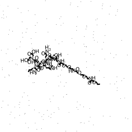 CCCC[C@H](NC(=O)[C@H](CNC(=O)CN(CC(=O)O)CC(=O)O)NC(=O)[C@H](Cc1c[nH]cn1)NC(=O)[C@H](CCC(N)=O)NC(=O)[C@H](CO)NC(=O)CNC(=O)COCCOCCNC(=O)COCCOCCNC(=O)COCCC)C(=O)NC